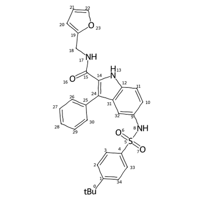 CC(C)(C)c1ccc(S(=O)(=O)Nc2ccc3[nH]c(C(=O)NCc4ccco4)c(-c4ccccc4)c3c2)cc1